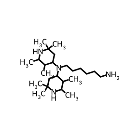 CC1NC(C)(C)CC(N(CCCCCCN)C2CC(C)(C)NC(C)C2C)C1C